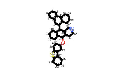 c1ccc2c(c1)cc(-c1c3ccccc3c(Oc3ccc4sc5ccccc5c4c3)c3ccncc13)c1ccccc12